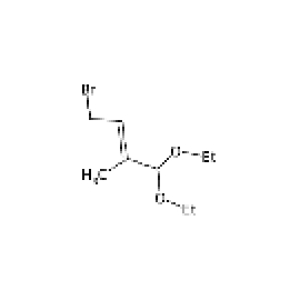 CCOC(OCC)/C(C)=C/CBr